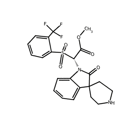 COC(=O)[C@H](N1C(=O)C2(CCNCC2)c2ccccc21)S(=O)(=O)c1ccccc1C(F)(F)F